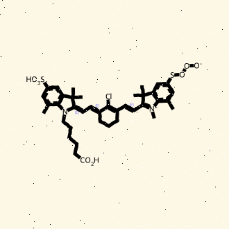 Cc1cc(S(=O)(=O)O)cc2c1N(CCCCCC(=O)O)/C(=C/C=C1\CCCC(/C=C/C3=[N+](C)c4c(C)cc(SOO[O-])cc4C3(C)C)=C1Cl)C2(C)C